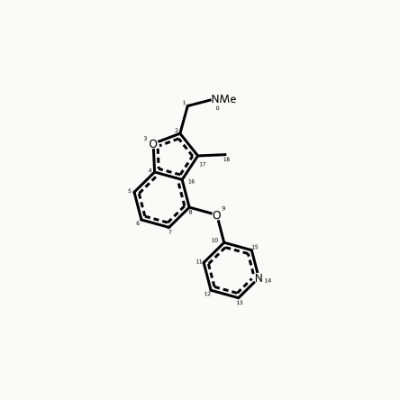 CNCc1oc2cccc(Oc3cccnc3)c2c1C